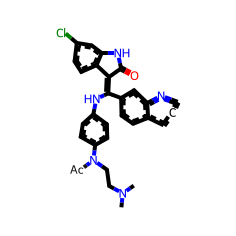 CC(=O)N(CCN(C)C)c1ccc(NC(=C2C(=O)Nc3cc(Cl)ccc32)c2ccc3cccnc3c2)cc1